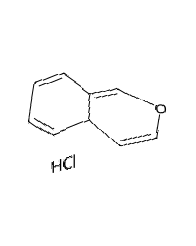 C1=CC2=COC=CC2C=C1.Cl